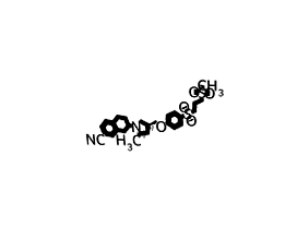 C[C@@H]1C[C@H](COc2ccc(S(=O)(=O)CCCS(C)(=O)=O)cc2)CN1C1CCc2ccc(C#N)cc2C1